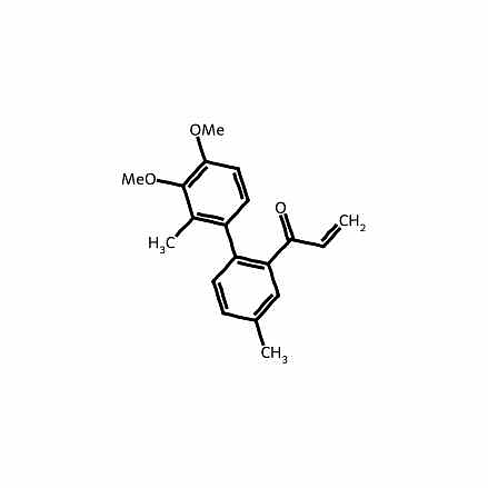 C=CC(=O)c1cc(C)ccc1-c1ccc(OC)c(OC)c1C